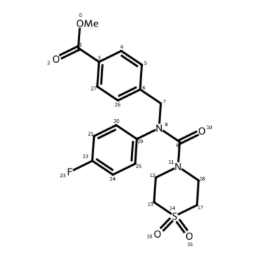 COC(=O)c1ccc(CN(C(=O)N2CCS(=O)(=O)CC2)c2ccc(F)cc2)cc1